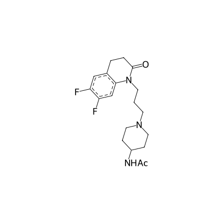 CC(=O)NC1CCN(CCCN2C(=O)CCc3cc(F)c(F)cc32)CC1